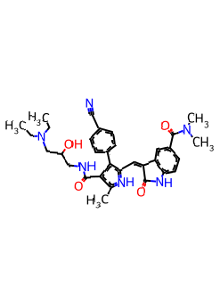 CCN(CC)CC(O)CNC(=O)c1c(C)[nH]c(C=C2C(=O)Nc3ccc(C(=O)N(C)C)cc32)c1-c1ccc(C#N)cc1